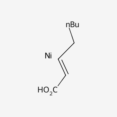 CCCCCC=CC(=O)O.[Ni]